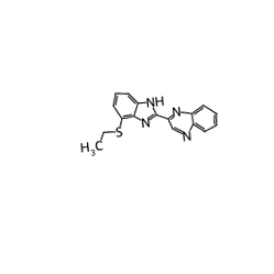 CCSc1cccc2[nH]c(-c3cnc4ccccc4n3)nc12